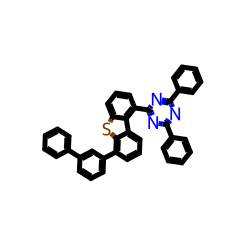 c1ccc(-c2cccc(-c3cccc4c3sc3cccc(-c5nc(-c6ccccc6)nc(-c6ccccc6)n5)c34)c2)cc1